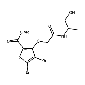 COC(=O)c1sc(Br)c(Br)c1OCC(=O)NC(C)CO